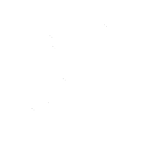 Cc1cn2cc(NC(=O)c3ccc(C4CC(C)NC(C)C4)c4ccnnc34)cc(F)c2n1